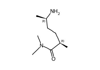 C[C@H](CC[C@@H](C)N)C(=O)N(C)C